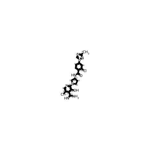 Cc1ncn(-c2ccc(C(=O)N[C@@H]3CCN(c4ncc(Cl)c(C(=N)N)c4O)C3)c(Cl)c2)n1